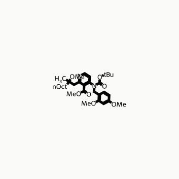 CCCCCCCCC(C)(Cc1nccc(N(Cc2ccc(OC)cc2OC)C(=O)OC(C)(C)C)c1C(=O)OC)OC